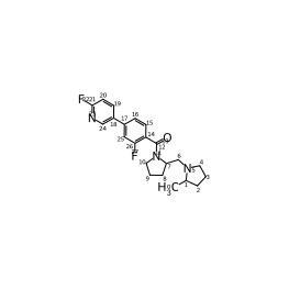 CC1CCCN1CC1CCCN1C(=O)c1ccc(-c2ccc(F)nc2)cc1F